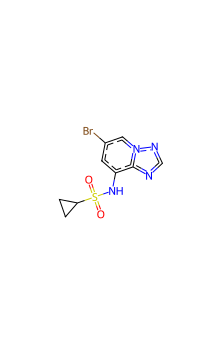 O=S(=O)(Nc1cc(Br)cn2ncnc12)C1CC1